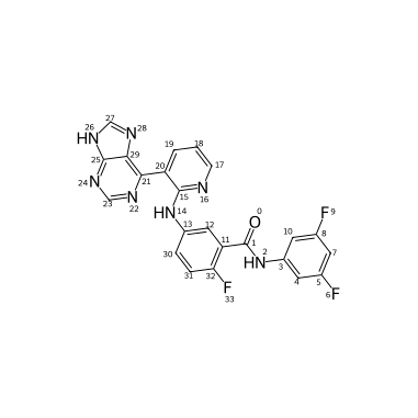 O=C(Nc1cc(F)cc(F)c1)c1cc(Nc2ncccc2-c2ncnc3[nH]cnc23)ccc1F